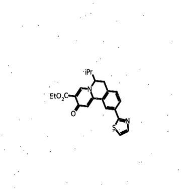 CCOC(=O)c1cn2c(cc1=O)-c1cc(-c3nccs3)ccc1CC2C(C)C